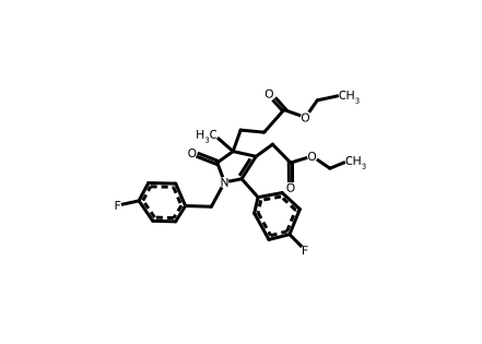 CCOC(=O)CCC1(C)C(=O)N(Cc2ccc(F)cc2)C(c2ccc(F)cc2)=C1CC(=O)OCC